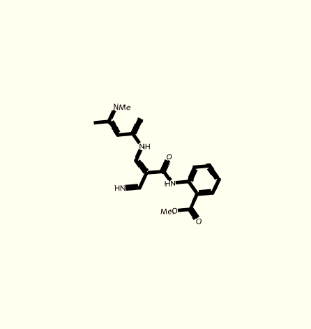 C=C(/C=C(/C)NC)N/C=C(/C=N)C(=O)Nc1ccccc1C(=O)OC